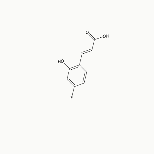 O=C(O)C=Cc1ccc(F)cc1O